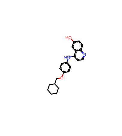 Oc1ccc2nccc(Nc3ccc(OCC4CCCCC4)cc3)c2c1